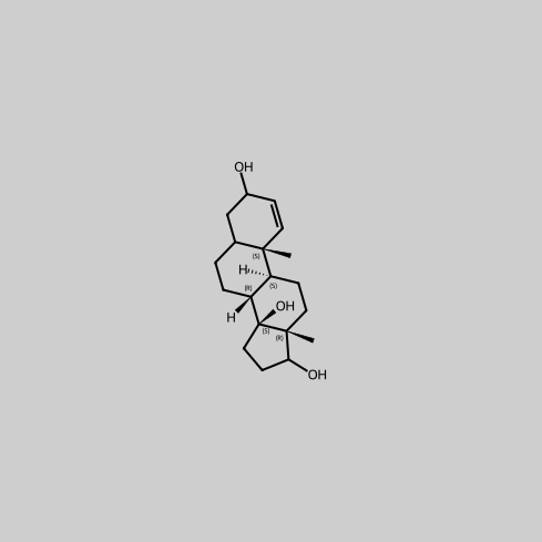 C[C@]12C=CC(O)CC1CC[C@@H]1[C@@H]2CC[C@]2(C)C(O)CC[C@]12O